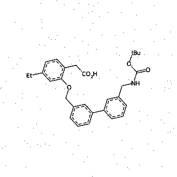 CCc1ccc(CC(=O)O)c(OCc2cccc(-c3cccc(CNC(=O)OC(C)(C)C)c3)c2)c1